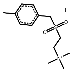 Cc1ccc(CS(=O)(=O)CC[N+](C)(C)C)cc1.[I-]